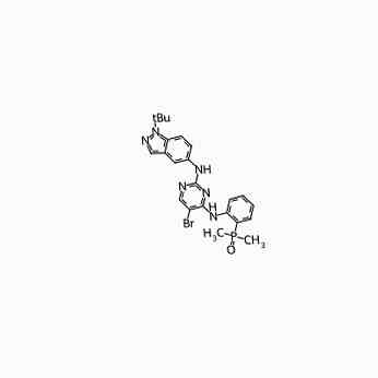 CC(C)(C)n1ncc2cc(Nc3ncc(Br)c(Nc4ccccc4P(C)(C)=O)n3)ccc21